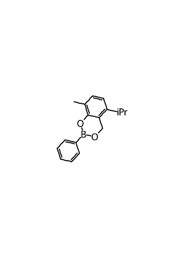 Cc1ccc(C(C)C)c2c1OB(c1ccccc1)OC2